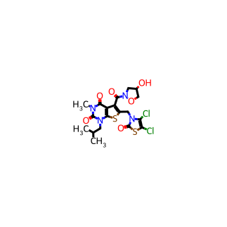 CC(C)Cn1c(=O)n(C)c(=O)c2c(C(=O)N3CC(O)CO3)c(Cn3c(Cl)c(Cl)sc3=O)sc21